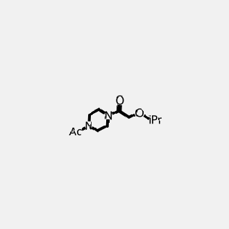 CC(=O)N1CCN(C(=O)COC(C)C)CC1